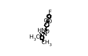 Cc1cc(C)c2sc(NC(=O)C3CCN(S(=O)(=O)c4ccc(F)cc4)CC3)nc2c1